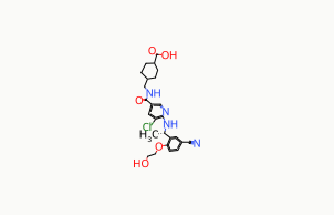 C[C@H](Nc1ncc(C(=O)NCC2CCC(C(=O)O)CC2)cc1Cl)c1cc(C#N)ccc1OCCO